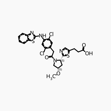 CO[C@H]1C[C@@H](c2ncc(CCC(=O)O)s2)N(C(=O)Cc2cc(Cl)c(Nc3nc4ccccc4s3)cc2Cl)C1